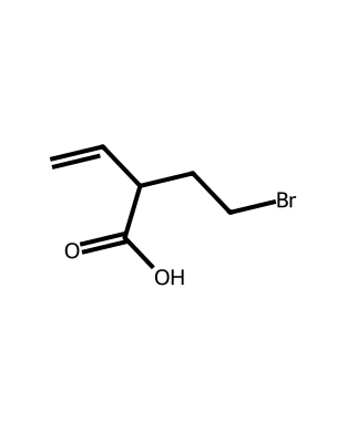 C=CC(CCBr)C(=O)O